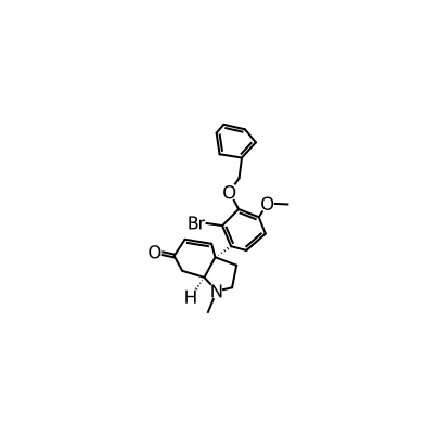 COc1ccc([C@@]23C=CC(=O)C[C@@H]2N(C)CC3)c(Br)c1OCc1ccccc1